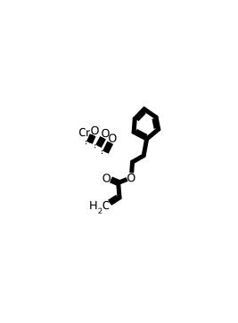 C=CC(=O)OCCc1ccccc1.[C]=O.[C]=O.[C]=O.[Cr]